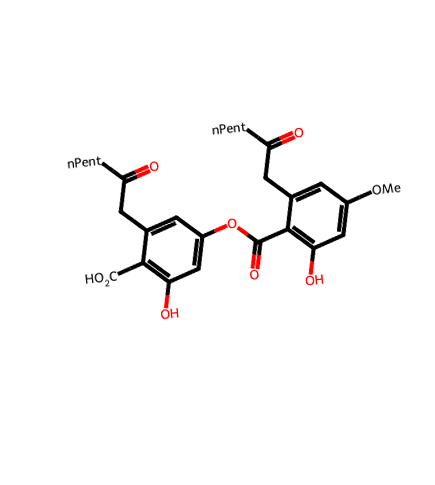 CCCCCC(=O)Cc1cc(OC(=O)c2c(O)cc(OC)cc2CC(=O)CCCCC)cc(O)c1C(=O)O